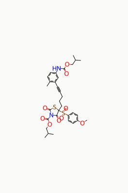 COc1ccc(S(=O)(=O)C2(CCCC#Cc3cc(NC(=O)OCC(C)C)ccc3C)SC(=O)N(C(=O)OCC(C)C)C2=O)cc1